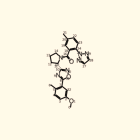 COc1ccc(C)c(-c2nc([C@@H]3CCCN3C(=O)c3cc(C)ccc3-n3nccn3)no2)c1